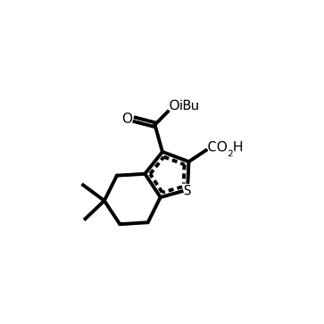 CC(C)COC(=O)c1c(C(=O)O)sc2c1CC(C)(C)CC2